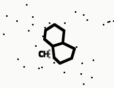 C1CCC2CCCCC2C1.[CH]